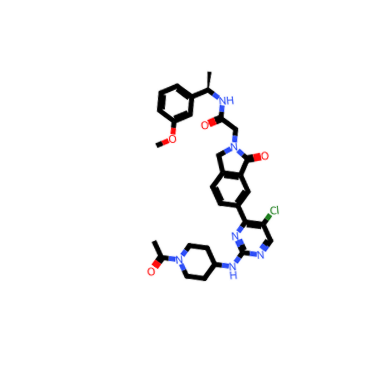 COc1cccc([C@@H](C)NC(=O)CN2Cc3ccc(-c4nc(NC5CCN(C(C)=O)CC5)ncc4Cl)cc3C2=O)c1